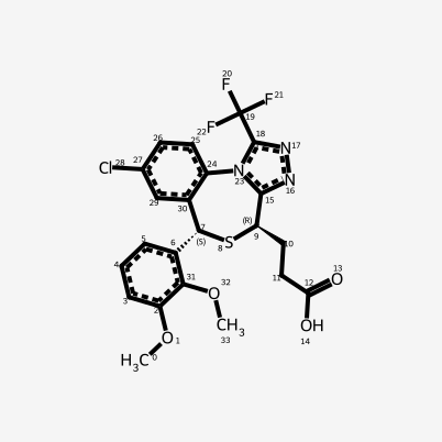 COc1cccc([C@H]2S[C@H](CCC(=O)O)c3nnc(C(F)(F)F)n3-c3ccc(Cl)cc32)c1OC